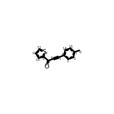 Cc1ccc(C#CC(=O)c2cccs2)cc1